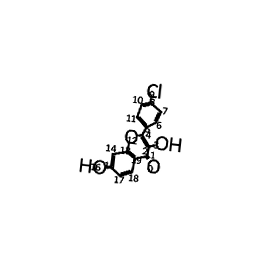 O=c1c(O)c(-c2ccc(Cl)cc2)oc2cc(O)ccc12